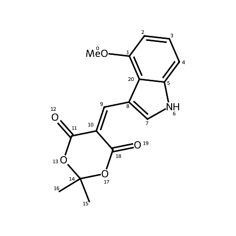 COc1cccc2[nH]cc(C=C3C(=O)OC(C)(C)OC3=O)c12